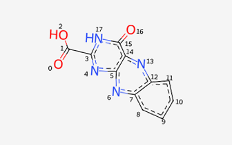 O=C(O)c1nc2nc3ccccc3nc2c(=O)[nH]1